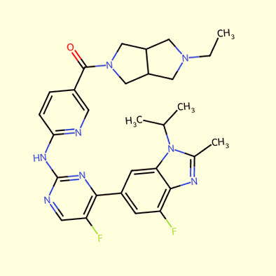 CCN1CC2CN(C(=O)c3ccc(Nc4ncc(F)c(-c5cc(F)c6nc(C)n(C(C)C)c6c5)n4)nc3)CC2C1